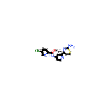 C[C@@]1(c2cc(NC(=O)c3ccc(Cl)cn3)ccn2)CCSC(N)=N1